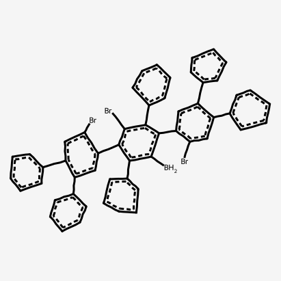 Bc1c(-c2ccccc2)c(-c2cc(-c3ccccc3)c(-c3ccccc3)cc2Br)c(Br)c(-c2ccccc2)c1-c1cc(-c2ccccc2)c(-c2ccccc2)cc1Br